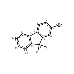 CC1(C)c2cc(Br)ccc2-c2cncnc21